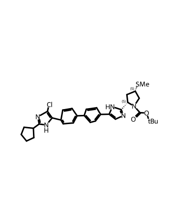 CS[C@H]1C[C@@H](c2ncc(-c3ccc(-c4ccc(-c5[nH]c(C6CCCC6)nc5Cl)cc4)cc3)[nH]2)N(C(=O)OC(C)(C)C)C1